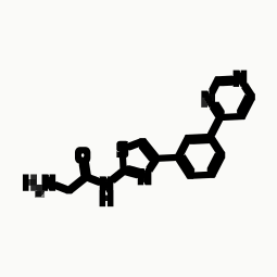 NCC(=O)Nc1nc(-c2cccc(-c3ccncn3)c2)cs1